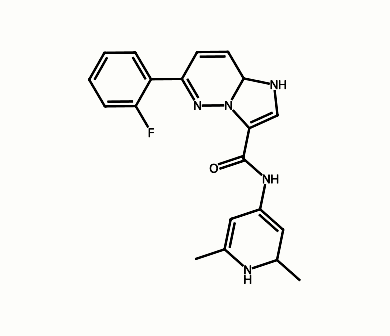 CC1=CC(NC(=O)C2=CNC3C=CC(c4ccccc4F)=NN23)=CC(C)N1